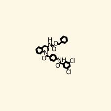 O=C(NC1Cc2ccccc2N(C(=O)c2ccc(NC(=O)c3cc(Cl)cc(Cl)c3)cc2)C1)OCc1ccccc1